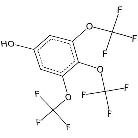 Oc1cc(OC(F)(F)F)c(OC(F)(F)F)c(OC(F)(F)F)c1